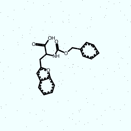 O=C(NC(Cc1cc2ccccc2o1)C(=O)O)OCc1ccccc1